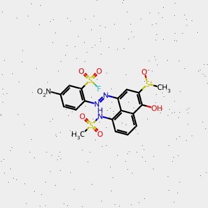 C[S+]([O-])c1cc(N=Nc2ccc([N+](=O)[O-])cc2S(=O)(=O)F)c2c(NS(C)(=O)=O)cccc2c1O